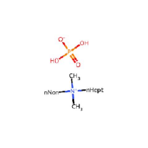 CCCCCCCCC[N+](C)(C)CCCCCCC.O=P([O-])(O)O